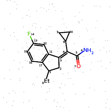 CCC1CC(=C(C(N)=O)C2CC2)c2cc(F)ccc21